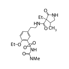 CCOc1ccc(CCNC(=O)C2(CC)C(=O)NCC2C)cc1S(=O)(=O)NC(=O)NC